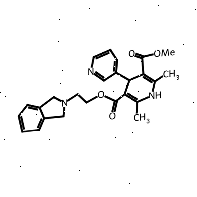 COC(=O)C1=C(C)NC(C)=C(C(=O)OCCN2Cc3ccccc3C2)C1c1cccnc1